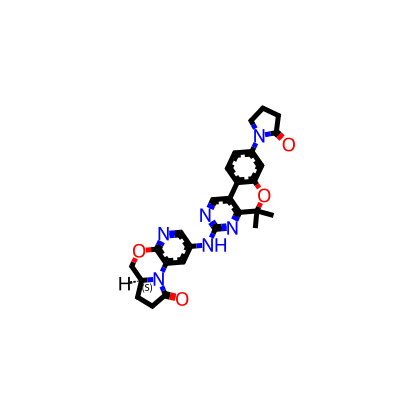 CC1(C)Oc2cc(N3CCCC3=O)ccc2-c2cnc(Nc3cnc4c(c3)N3C(=O)CC[C@H]3CO4)nc21